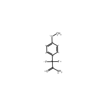 COc1ccc(C(F)(F)C(N)=O)cc1